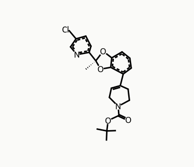 CC(C)(C)OC(=O)N1CC=C(c2cccc3c2O[C@@](C)(c2ccc(Cl)cn2)O3)CC1